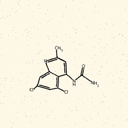 Cc1cc(NC(N)=O)c2c(Cl)cc(Cl)cc2n1